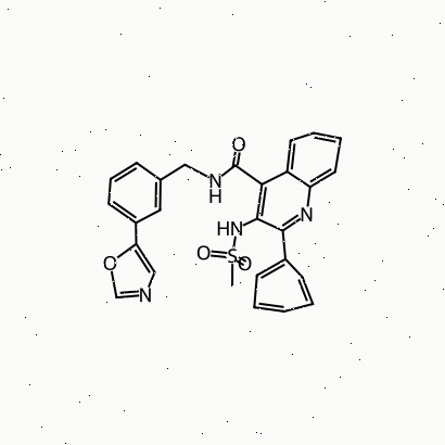 CS(=O)(=O)Nc1c(-c2ccccc2)nc2ccccc2c1C(=O)NCc1cccc(-c2cnco2)c1